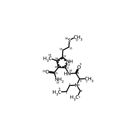 CCCN(CC)C(C)C(=O)Nc1[nH]c(CCSC)c(C)c1C(N)=O